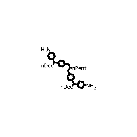 CCCCCCCCCCC(c1ccc(N)cc1)c1ccc(CC(CCCCC)Cc2ccc(C(CCCCCCCCCC)c3ccc(N)cc3)cc2)cc1